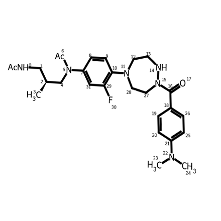 CC(=O)NC[C@H](C)CN(C(C)=O)c1ccc(N2CCNN(C(=O)c3ccc(N(C)C)cc3)CC2)c(F)c1